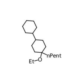 CCCCCC1(OCC)CCC(C2CCCCC2)CC1